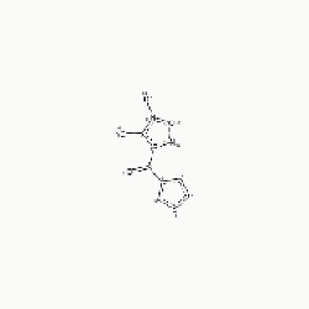 N#Cc1c(C(=O)c2ccsc2)no[n+]1[O-]